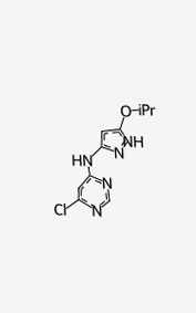 CC(C)Oc1cc(Nc2cc(Cl)ncn2)n[nH]1